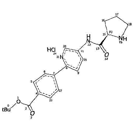 CC(C)(C)OC(=O)c1ccc(-c2ccc(NC(=O)[C@H]3CCCN3)cn2)cc1.Cl